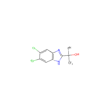 CCCC(O)(c1nc2cc(Cl)c(Cl)cc2[nH]1)C(F)(F)F